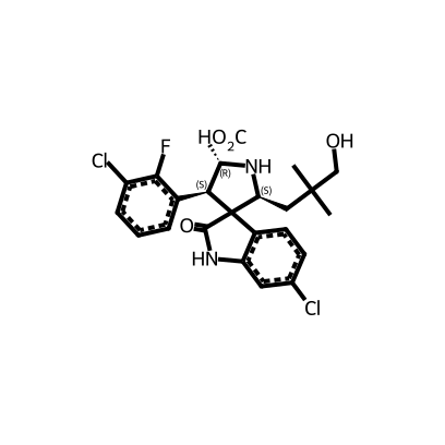 CC(C)(CO)C[C@@H]1N[C@@H](C(=O)O)[C@H](c2cccc(Cl)c2F)C12C(=O)Nc1cc(Cl)ccc12